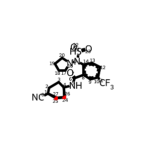 N#CC12CCC(NC(=O)c3cc(C(F)(F)F)ccc3N(N3CCCC3)[SH](=O)=O)(CC1)CC2